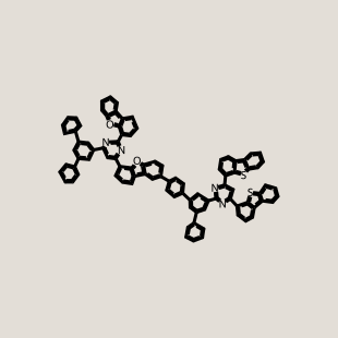 c1ccc(-c2cc(-c3ccccc3)cc(-c3cc(-c4cccc5c4oc4ccc(-c6ccc(-c7cc(-c8ccccc8)cc(-c8nc(-c9cccc%10c9sc9ccccc9%10)cc(-c9cccc%10c9sc9ccccc9%10)n8)c7)cc6)cc45)nc(-c4cccc5c4oc4ccccc45)n3)c2)cc1